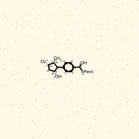 CCCCCC(O)c1ccc(C2[C@H](O)C[C@H](Cl)[C@@H]2C)cc1